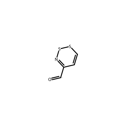 O=[C]C1=NSSC=C1